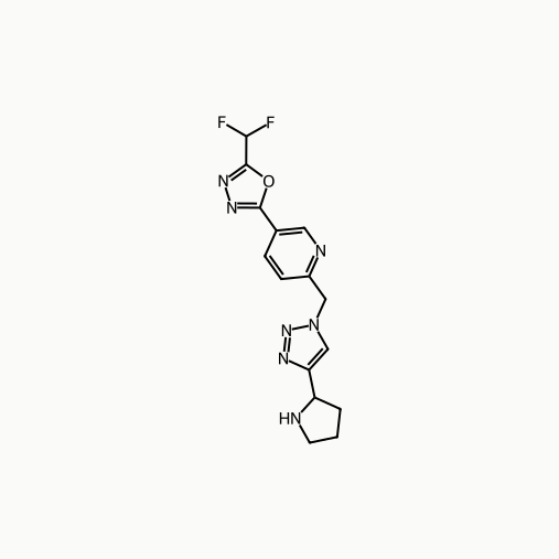 FC(F)c1nnc(-c2ccc(Cn3cc(C4CCCN4)nn3)nc2)o1